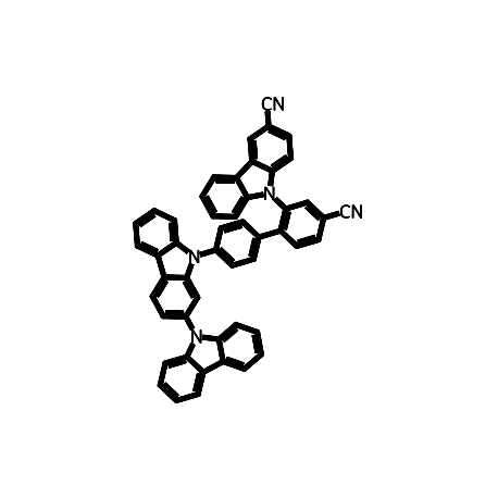 N#Cc1ccc(-c2ccc(-n3c4ccccc4c4ccc(-n5c6ccccc6c6ccccc65)cc43)cc2)c(-n2c3ccccc3c3cc(C#N)ccc32)c1